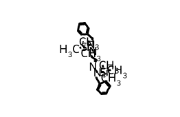 C[Si](C)(C)N(Cc1ccccc1)N=CC=NN(Cc1ccccc1)[Si](C)(C)C